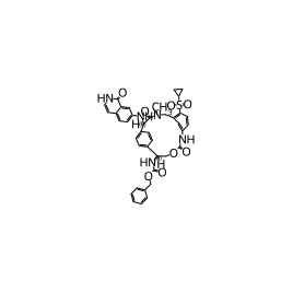 CN1Cc2cc(ccc2S(=O)(=O)C2CC2)NC(=O)OC[C@H](NC(=O)OCc2ccccc2)c2ccc(cc2)[C@@H](Nc2ccc3cc[nH]c(=O)c3c2)C1=O